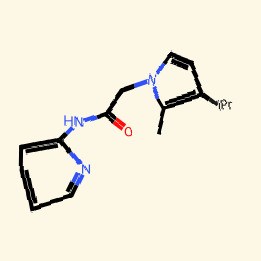 Cc1c(C(C)C)ccn1CC(=O)Nc1ccccn1